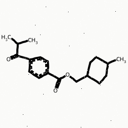 CC1CCC(COC(=O)c2ccc(C(=O)C(C)C)cc2)CC1